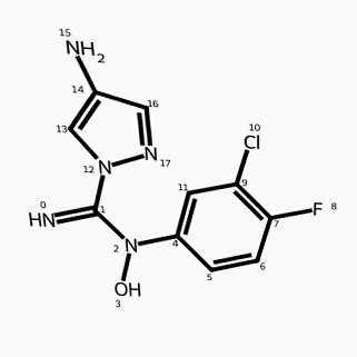 N=C(N(O)c1ccc(F)c(Cl)c1)n1cc(N)cn1